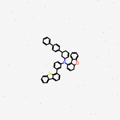 C1=CC(N(c2cccc(-c3cccc4c3sc3ccccc34)c2)C2C=CCC(c3ccc(-c4ccccc4)cc3)C2)=C2c3ccccc3OC2C1